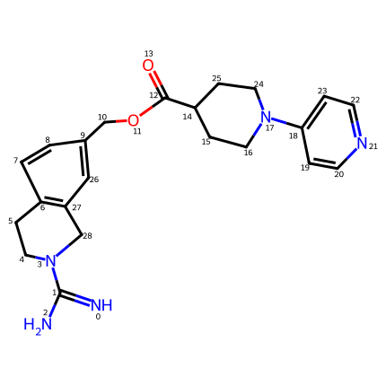 N=C(N)N1CCc2ccc(COC(=O)C3CCN(c4ccncc4)CC3)cc2C1